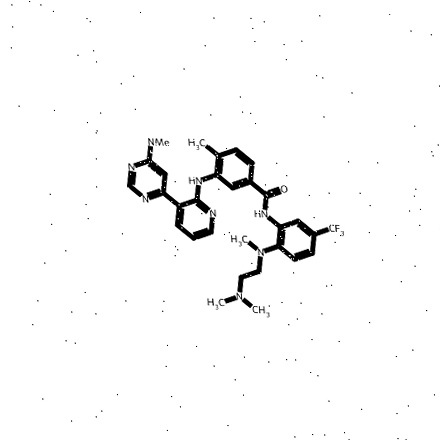 CNc1cc(-c2cccnc2Nc2cc(C(=O)Nc3cc(C(F)(F)F)ccc3N(C)CCN(C)C)ccc2C)ncn1